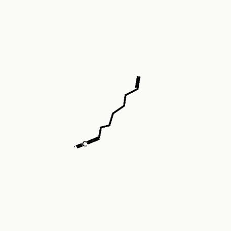 [CH]=C=CCCCCCC=C